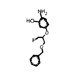 Nc1ccc(OC(CF)COCc2ccccc2)cc1O